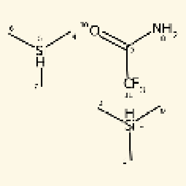 C[SiH](C)C.C[SiH](C)C.NC(=O)C(F)(F)F